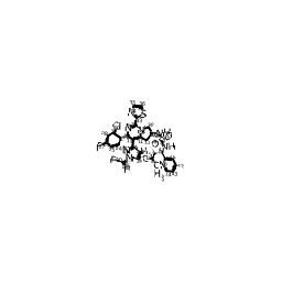 CC(C)C[C@H](NS(=O)(=O)N[C@H]1CC2=C(c3ccn(C(F)F)n3)[C@H](c3ccc(F)cc3Cl)N=C(c3nccs3)N2C1)c1ccccn1